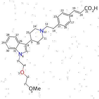 COCCOCCn1cc(C2CCN(CCc3ccc(/C=C/C(=O)O)cc3)CC2)c2ccccc21